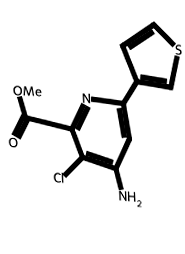 COC(=O)c1nc(-c2ccsc2)cc(N)c1Cl